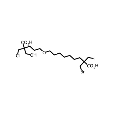 O=C(O)C(CO)(CCl)CCCOCCCCCCCC(CBr)(CI)C(=O)O